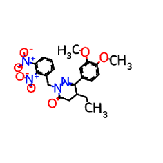 CCC1CC(=O)N(Cc2cccc([N+](=O)[O-])c2[N+](=O)[O-])N=C1c1ccc(OC)c(OC)c1